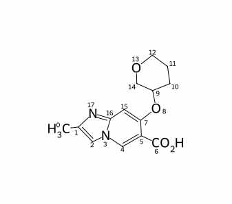 Cc1cn2cc(C(=O)O)c(OC3CCCOC3)cc2n1